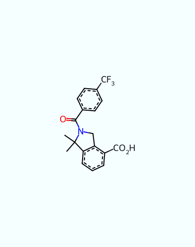 CC1(C)c2cccc(C(=O)O)c2CN1C(=O)c1ccc(C(F)(F)F)cc1